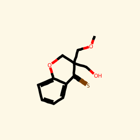 COCC1(CO)COc2ccccc2C1=S